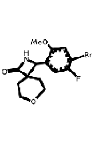 COc1cc(Br)c(F)cc1C1NC(=O)C12CCOCC2